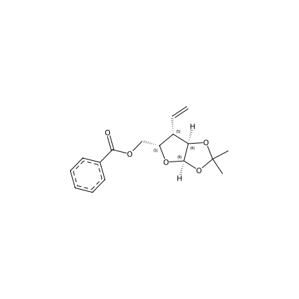 C=C[C@@H]1[C@H]2OC(C)(C)O[C@H]2O[C@@H]1COC(=O)c1ccccc1